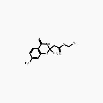 CCOC(=O)CC1(C)NC(=O)c2ccc(C)cc2O1